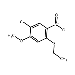 CCSc1cc(OC)c(Cl)cc1[N+](=O)[O-]